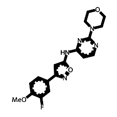 COc1ccc(-c2cc(Nc3ccnc(N4CCOCC4)n3)on2)cc1F